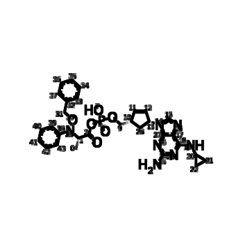 C[C@@H](C(=O)OP(=O)(O)OC[C@@H]1C=C[C@H](n2cnc3c(NC4CC4)nc(N)nc32)C1)N(OCc1ccccc1)c1ccccc1